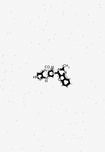 Cc1nc(N2C[C@@H](Nc3n[nH]cc3C(C)C)C[C@H]2C(=O)O)c2oc3ccccc3c2n1